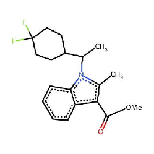 COC(=O)c1c(C)n(C(C)C2CCC(F)(F)CC2)c2ccccc12